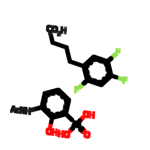 CC(=O)Nc1cccc([As](=O)(O)O)c1O.O=C(O)CCCc1cc(F)c(F)cc1F